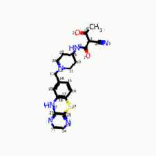 CC(=O)C(C#N)C(=O)NC1CCN(Cc2ccc3c(c2)Nc2nccnc2S3)CC1